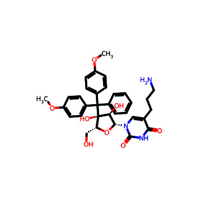 COc1ccc(C(c2ccccc2)(c2ccc(OC)cc2)[C@@]2(O)[C@@H](CO)O[C@@H](n3cc(CCCN)c(=O)[nH]c3=O)[C@@H]2O)cc1